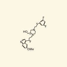 COc1ccc2nccc(C(F)CC[C@@H]3CCN(CCSc4cc(F)cc(F)c4)C[C@@H]3CO)c2c1